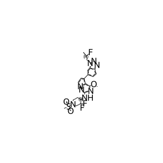 COc1nc(N[C@@H]2CCN(S(C)(=O)=O)CC2(F)F)nn2ccc(-c3ccc4nnn(C[C@@H](C)F)c4c3)c12